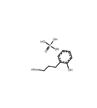 CCCCCCCCCCCCc1ccccc1O.O=P(O)(O)O